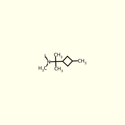 CC1CC(C(C)(C)N(C)I)C1